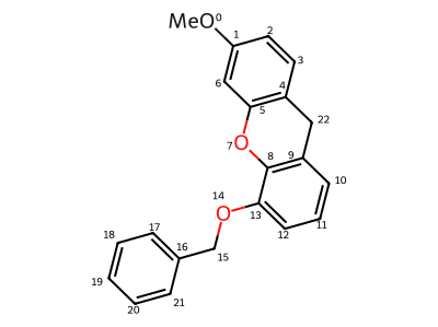 COc1ccc2c(c1)Oc1c(cccc1OCc1ccccc1)C2